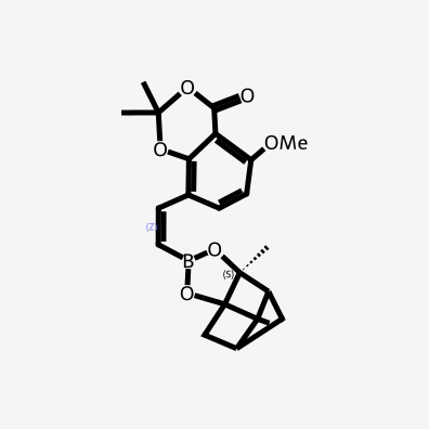 COc1ccc(/C=C\B2OC34CC5CC(C53C)[C@]4(C)O2)c2c1C(=O)OC(C)(C)O2